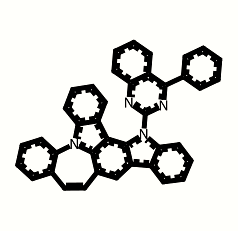 C1=Cc2cc3c4ccccc4n(-c4nc(-c5ccccc5)c5ccccc5n4)c3c3c4ccccc4n(c23)-c2ccccc21